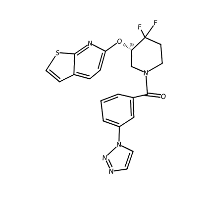 O=C(c1cccc(-n2ccnn2)c1)N1CCC(F)(F)[C@@H](Oc2ccc3ccsc3n2)C1